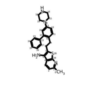 Cc1ccc2c(N)c(CCc3ccc(N4CCNCC4)cc3-c3ccccc3)sc2n1